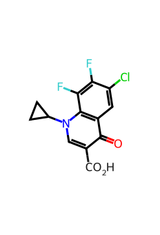 O=C(O)c1cn(C2CC2)c2c(F)c(F)c(Cl)cc2c1=O